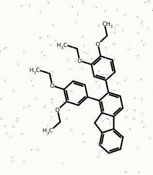 CCOc1ccc(-c2ccc3c(c2-c2ccc(OCC)c(OCC)c2)Cc2ccccc2-3)cc1OCC